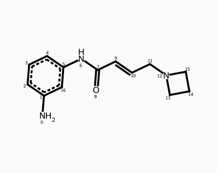 Nc1cccc(NC(=O)/C=C/CN2CCC2)c1